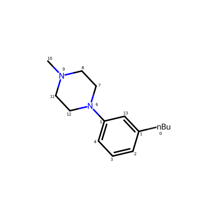 CCCCc1cccc(N2CCN(C)CC2)c1